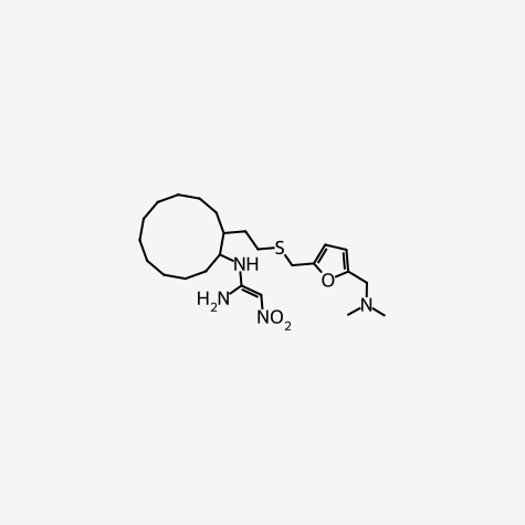 CN(C)Cc1ccc(CSCCC2CCCCCCCCCCC2NC(N)=C[N+](=O)[O-])o1